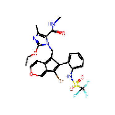 CCOc1nc(C)c(C(=O)NC)n1Cc1c2ccocc-2c(Br)c1-c1ccccc1NS(=O)(=O)C(F)(F)F